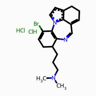 CN(C)CCCC1CC=C(Br)C2=C1N=CC1=CCCc3ccn2c31.Cl.Cl